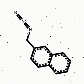 [N-]=[N+]=NCc1ccc2ccccc2c1